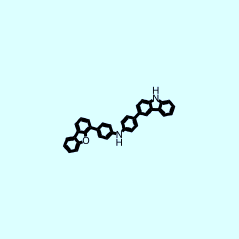 c1ccc2c(c1)[nH]c1ccc(-c3ccc(Nc4ccc(-c5cccc6c5oc5ccccc56)cc4)cc3)cc12